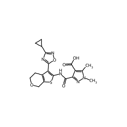 Cc1c(C(=O)O)c(C(=O)Nc2sc3c(c2-c2nc(C4CC4)no2)CCOC3)nn1C